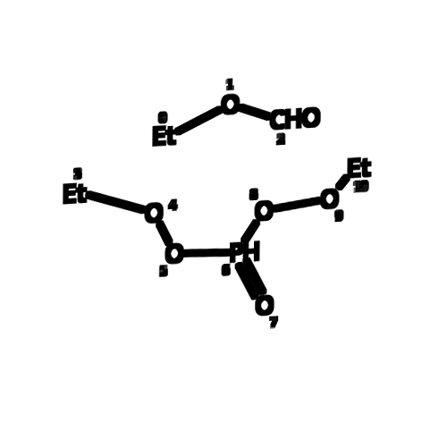 CCOC=O.CCOO[PH](=O)OOCC